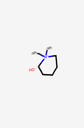 CCC[N+]1(CCC)CCCCC1.[OH-]